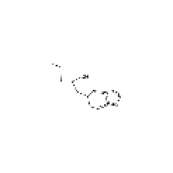 CCCC(O)CC1C=c2ccsc2=CC1